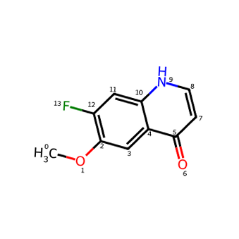 COc1cc2c(=O)cc[nH]c2cc1F